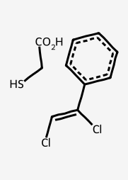 ClC=C(Cl)c1ccccc1.O=C(O)CS